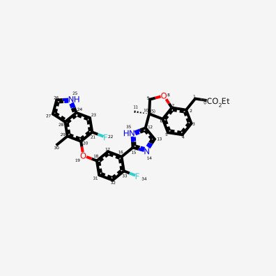 CCOC(=O)Cc1cccc2c1OC[C@]2(C)c1cnc(-c2cc(Oc3c(F)cc4[nH]ccc4c3C)ccc2F)[nH]1